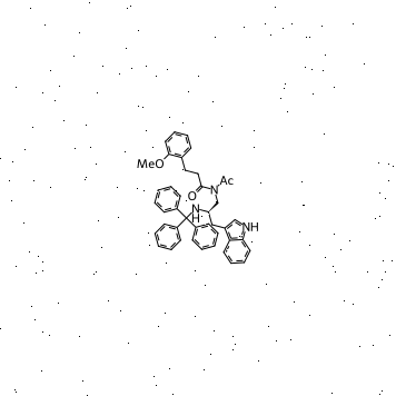 COc1ccccc1CCC(=O)N(C[C@@H](Cc1c[nH]c2ccccc12)NC(c1ccccc1)(c1ccccc1)c1ccccc1)C(C)=O